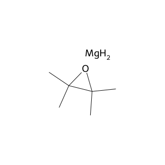 CC1(C)OC1(C)C.[MgH2]